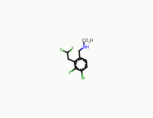 O=C(O)NCc1ccc(Br)c(F)c1CC(F)F